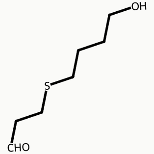 O=CCCSCCCCO